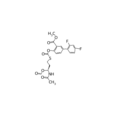 COC(=O)c1cc(-c2ccc(F)cc2F)ccc1OC(=O)SCC[C@@H](NC(C)=O)OC=O